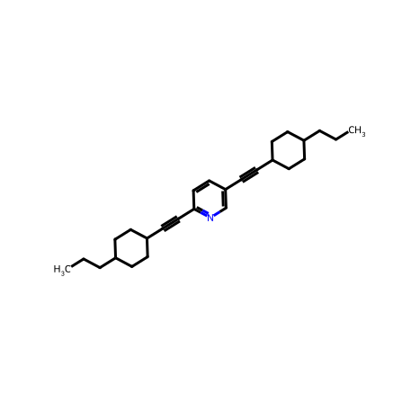 CCCC1CCC(C#Cc2ccc(C#CC3CCC(CCC)CC3)nc2)CC1